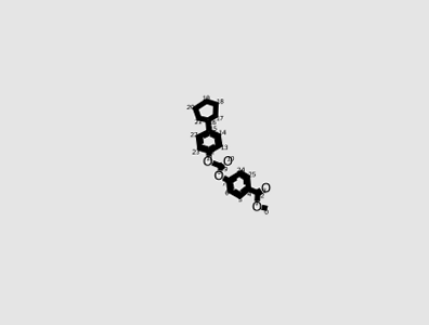 COC(=O)c1ccc(OC(=O)Oc2ccc(C3CCCCC3)cc2)cc1